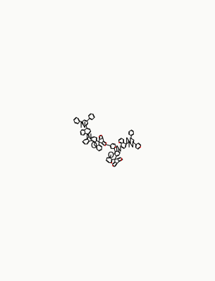 c1ccc(-c2cc(-c3ccccc3)nc(-c3ccc(-n4c5ccccc5c5c6c(ccc54)C4(c5ccccc5O6)c5ccccc5-c5cc(-c6ccc7c(c6)c6c8c(ccc6n7-c6ccc(-c7nc(-c9ccccc9)cc(-c9ccccc9)n7)c7ccccc67)C6(c7ccccc7O8)c7ccccc7-c7ccccc76)ccc54)c4ccccc34)c2)cc1